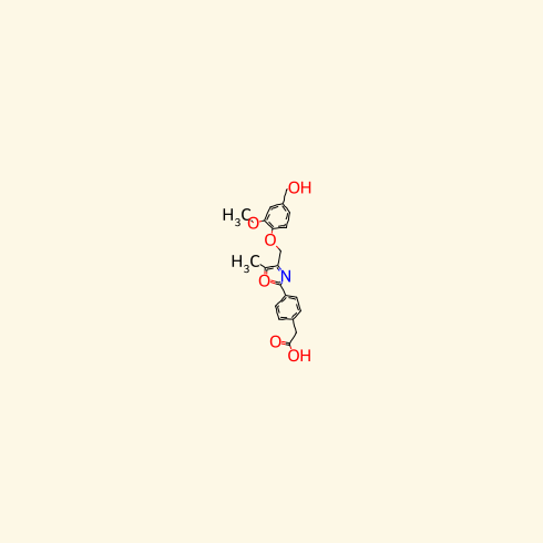 COc1cc(CO)ccc1OCc1nc(-c2ccc(CC(=O)O)cc2)oc1C